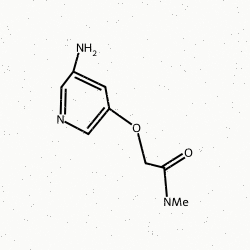 CNC(=O)COc1cncc(N)c1